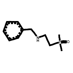 CP(C)(=O)CCNCc1ccccc1